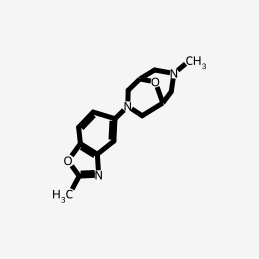 Cc1nc2cc(N3CC4CN(C)CC(C3)O4)ccc2o1